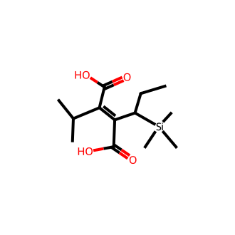 CCC(C(C(=O)O)=C(C(=O)O)C(C)C)[Si](C)(C)C